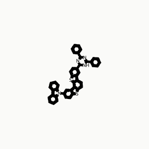 c1ccc(C2=NC(c3ccc4sc5c(ccc6sc7ccc(-n8c9ccccc9c9ccccc98)cc7c65)c4c3)NC(c3ccccc3)=N2)cc1